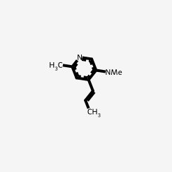 C/C=C/c1cc(C)ncc1NC